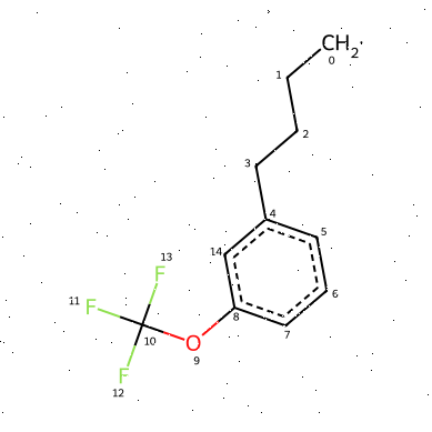 [CH2]CCCc1cccc(OC(F)(F)F)c1